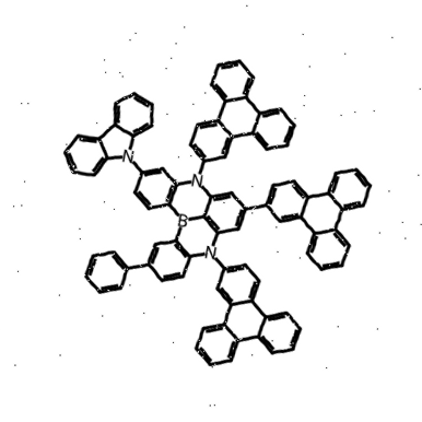 c1ccc(-c2ccc3c(c2)B2c4ccc(-n5c6ccccc6c6ccccc65)cc4N(c4ccc5c6ccccc6c6ccccc6c5c4)c4cc(-c5ccc6c7ccccc7c7ccccc7c6c5)cc(c42)N3c2ccc3c4ccccc4c4ccccc4c3c2)cc1